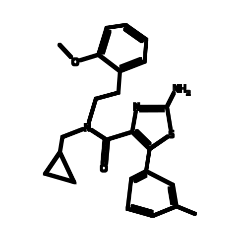 COc1ccccc1CCN(CC1CC1)C(=O)c1nc(N)sc1-c1cccc(C)c1